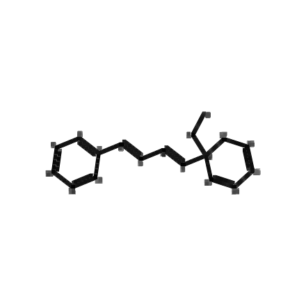 CCC1(C=CC=Cc2ccccc2)C=CC=CC1